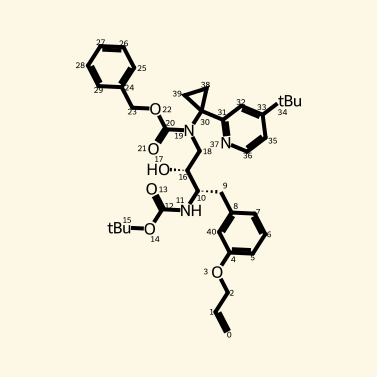 C=CCOc1cccc(C[C@H](NC(=O)OC(C)(C)C)[C@H](O)CN(C(=O)OCc2ccccc2)C2(c3cc(C(C)(C)C)ccn3)CC2)c1